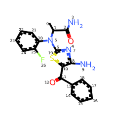 CC(C(N)=O)N(c1nc(N)c(C(=O)c2ccccc2)s1)c1ccccc1F